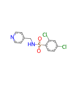 O=S(=O)(NCc1ccncc1)c1ccc(Cl)cc1Cl